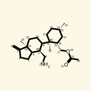 C=C1CCC2[C@H](CN)C([C@@]3(C)CC[C@H](C)C[C@@H]3COC(C)=O)CC[C@]12C